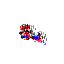 CC(=O)O[C@H]1C(=O)[C@]2(C)[C@@H](O)CC3OC[C@@]3(OC(C)=O)[C@H]2[C@H](OC(=O)c2ccccc2)[C@]2(O)C[C@H](OC(=O)[C@H](OC(=O)OCc3ccc(NC(=O)[C@@H](CC(N)=O)NC(=O)[C@@H](C)NC(=O)C(C)C)cc3)[C@@H](NC(=O)c3ccccc3)c3ccccc3)C(C)=C1C2(C)C